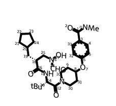 CNC(=O)c1ccc(OC2CCN(C(=O)[C@@H](NC(=O)[C@H](CC3CCCC3)CN(O)C=O)C(C)(C)C)CC2)cc1